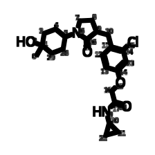 CC1(O)CCC(N2CCC(Cc3ccc(OCC(=O)NC4CC4)cc3Cl)C2=O)CC1